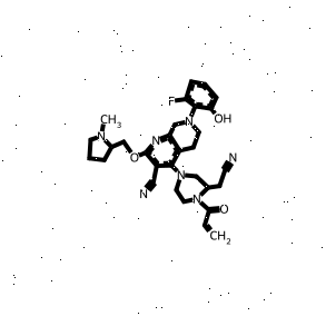 C=CC(=O)N1CCN(c2c(C#N)c(OCC3CCCN3C)nc3c2CCN(c2c(O)cccc2F)C3)CC1CC#N